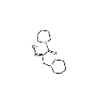 O=C(/C(CN1CCCCC1)=N\O)N1CCCCC1